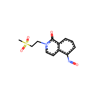 CS(=O)(=O)CCn1ccc2c(N=O)cccc2c1=O